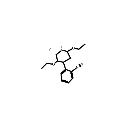 CCOC1CC(c2ccccc2[N+]#N)C(OCC)CN1.[Cl-]